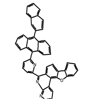 c1cc(-c2c3ccccc3c(-c3ccc4ccccc4c3)c3ccccc23)nc(-c2nc3ncccc3c3c2ccc2c4ccccc4oc23)c1